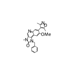 COc1cc2c(cc1-c1c(C)noc1C)ncc1c2n(Cc2ccccc2)c(=O)n1C